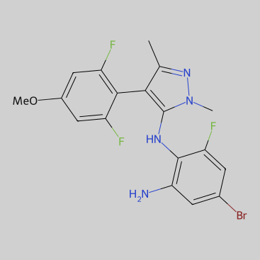 COc1cc(F)c(-c2c(C)nn(C)c2Nc2c(N)cc(Br)cc2F)c(F)c1